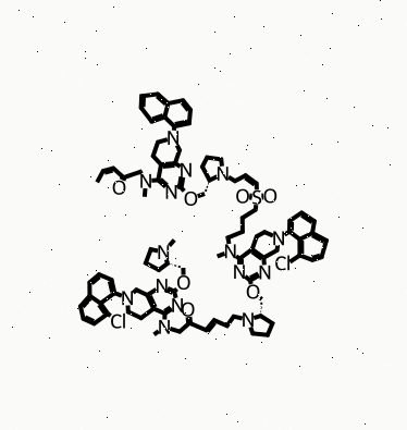 C/C=C\C(=O)CN(C)c1nc(OC[C@@H]2CCCN2C/C=C\S(=O)(=O)CCCCN(C)c2nc(OC[C@@H]3CCCN3CC/C=C/C(=O)CN(C)c3nc(OC[C@@H]4CCCN4C)nc4c3CCN(c3cccc5cccc(Cl)c35)C4)nc3c2CCN(c2cccc4cccc(Cl)c24)C3)nc2c1CCN(c1cccc3ccccc13)C2